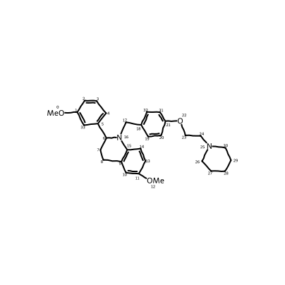 COc1cccc(C2CCc3cc(OC)ccc3N2Cc2ccc(OCCN3CCCCC3)cc2)c1